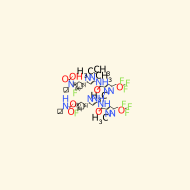 Cn1nc(COC(F)(F)F)cc1C(=O)Nc1cc([C@@H]2C[C@@H](F)[C@H](N(C(=O)O)C34CC(C3)C4)C2)nn1C(C)(C)C.Cn1nc(COC(F)(F)F)cc1C(=O)Nc1cc([C@@H]2C[C@@H](F)[C@H](OC(=O)NC34CC(C3)C4)C2)n[nH]1